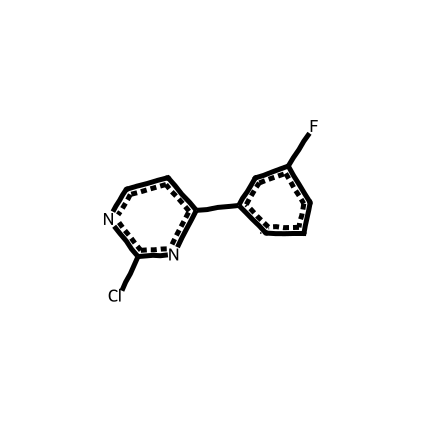 Fc1cc[c]c(-c2ccnc(Cl)n2)c1